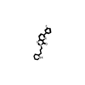 O=c1c2nc(-c3cccc(F)c3)ccc2ncn1CCCC1CCCCN1